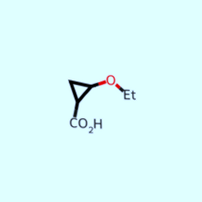 CCO[C]1CC1C(=O)O